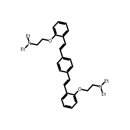 CCN(CC)CCOc1ccccc1/C=C/c1ccc(/C=C/c2ccccc2OCCN(CC)CC)cc1